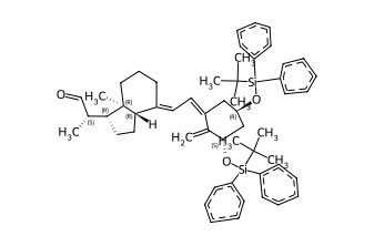 C=C1C(=CC=C2CCC[C@]3(C)[C@@H]([C@H](C)C=O)CC[C@@H]23)C[C@@H](O[Si](c2ccccc2)(c2ccccc2)C(C)(C)C)C[C@@H]1O[Si](c1ccccc1)(c1ccccc1)C(C)(C)C